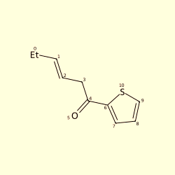 CC/C=C/CC(=O)c1cccs1